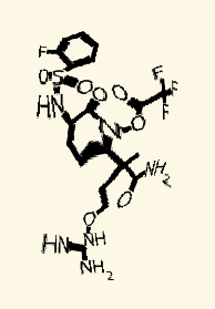 CC(CCONC(=N)N)(C(N)=O)c1ccc(NS(=O)(=O)c2ccccc2F)c(=O)n1OC(=O)C(F)(F)F